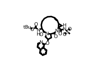 CC(C)(C)OC(=O)NC1CCCCC/C=C\C2CC2(C(=O)NS(C)(=O)=O)NC(=O)C2CC(Oc3nccc4ccccc34)CN2C1=O